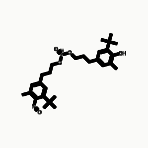 Cc1cc(CCCO[PH](=O)OCCCc2cc(C)c(N=O)c(C(C)(C)C)c2)cc(C(C)(C)C)c1O